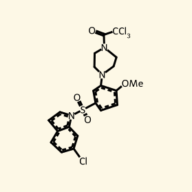 COc1ccc(S(=O)(=O)n2ccc3ccc(Cl)cc32)cc1N1CCN(C(=O)C(Cl)(Cl)Cl)CC1